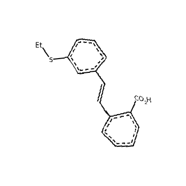 CCSc1cccc(C=Cc2ccccc2C(=O)O)c1